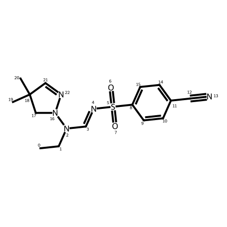 CCN(C=NS(=O)(=O)c1ccc(C#N)cc1)N1CC(C)(C)C=N1